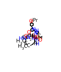 CC(C)Oc1ccc(-c2cc(O[C@@H]3C[C@H]4C(=O)N[C@]5(C(=O)NS(=O)(=O)C6(C)CC6)C[C@H]5/C=C\CC[C@H](C)C[C@@H](C)[C@H](NC(=O)O)C(=O)N4C3)cc(-c3ncccn3)n2)cc1